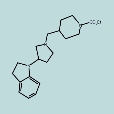 CCOC(=O)N1CCC(CN2CCC(N3CCc4ccccc43)C2)CC1